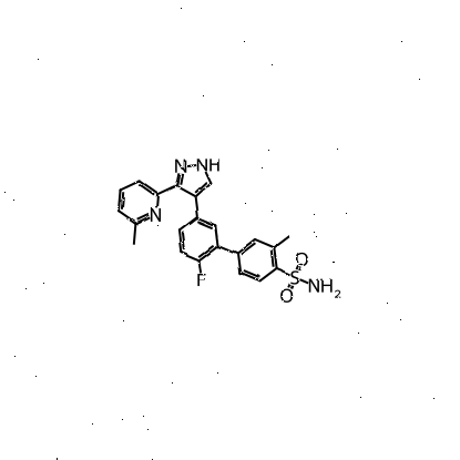 Cc1cccc(-c2n[nH]cc2-c2ccc(F)c(-c3ccc(S(N)(=O)=O)c(C)c3)c2)n1